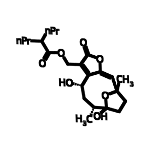 CCCC(CCC)C(=O)OCC1=C2/C(=C\C3(C)CCC(O)(O3)[C@H](C)C[C@@H]2O)OC1=O